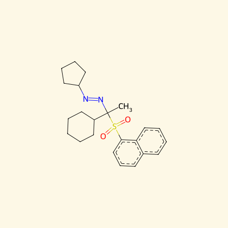 CC(N=NC1CCCC1)(C1CCCCC1)S(=O)(=O)c1cccc2ccccc12